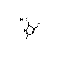 Cn1nc(I)cc1F